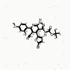 COc1ccc(-c2nc3[nH]nc(NC(=O)OC(C)(C)C)c3c(-c3ccc(Br)o3)c2C#N)c(F)c1